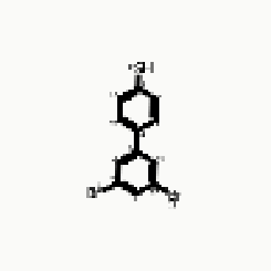 Sc1ccc(-c2cc(Br)cc(Br)c2)cc1